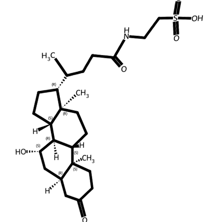 CC(CCC(=O)NCCS(=O)(=O)O)[C@H]1CC[C@H]2[C@@H]3[C@@H](O)C[C@@H]4CC(=O)CC[C@]4(C)[C@H]3CC[C@]12C